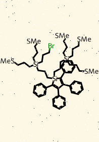 CSCCC[Si](CCCBr)(CCCSC)CCC[Si]1(CCC[Si](CCCSC)(CCCSC)CCCSC)C(c2ccccc2)=C(c2ccccc2)C(c2ccccc2)=C1c1ccccc1